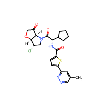 Cc1cnnc(-c2ccc(C(=O)N[C@H](C(=O)N3C[C@H](Cl)[C@H]4OCC(=O)[C@H]43)C3CCCC3)s2)c1